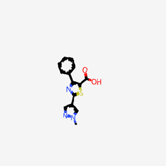 Cn1cc(-c2nc(-c3ccccc3)c(C(=O)O)s2)cn1